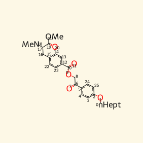 CCCCCCCOc1ccc(C(=O)COC(=O)c2ccc(CC(NC)C(=O)OC)cc2)cc1